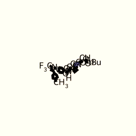 Cc1ccc(-c2cc(C(F)(F)F)nn2-c2ccc(S(=O)(=O)NC(=O)[C@@H]3CCN3/[N+]([O-])=N/OC(C)OC(=O)OC(C)(C)C)cc2)cc1